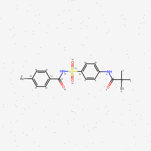 CCC(C)(C)C(=O)Nc1ccc(S(=O)(=O)NC(=O)c2ccc(C(C)=O)cc2)cc1